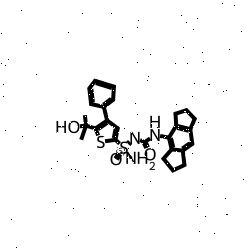 CC(C)(O)c1sc([S@@](N)(=O)=NC(=O)Nc2c3c(cc4c2CCC4)CCC3)cc1-c1ccccc1